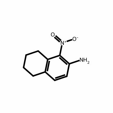 Nc1ccc2c(c1[N+](=O)[O-])CCCC2